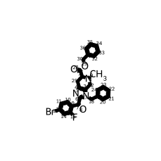 CN1Cc2c(nc(C(=O)c3ccc(Br)cc3F)n2Cc2ccccc2)CC1C(=O)OCc1ccccc1